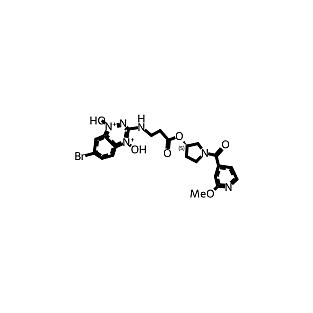 COc1cc(C(=O)N2CC[C@H](OC(=O)CCNc3n[n+](O)c4cc(Br)ccc4[n+]3O)C2)ccn1